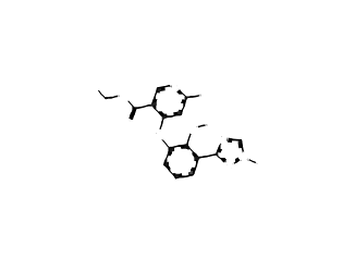 CCOC(=O)c1cnc(Cl)cc1Nc1cccc(-c2ncn(C)n2)c1OC